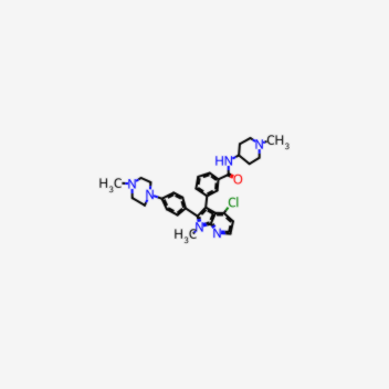 CN1CCC(NC(=O)c2cccc(-c3c(-c4ccc(N5CCN(C)CC5)cc4)n(C)c4nccc(Cl)c34)c2)CC1